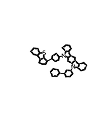 c1ccc(-c2cccc(-n3c4ccccc4c4cc5c6ccccc6n(-c6ccc(-c7cccc8c7sc7ccccc78)cc6)c5cc43)c2)cc1